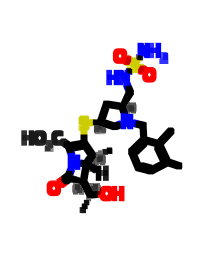 Cc1cccc(CN2C[C@@H](SC3=C(C(=O)O)N4C(=O)[C@H]([C@@H](C)O)[C@H]4[C@H]3C)C[C@H]2CNS(N)(=O)=O)c1C